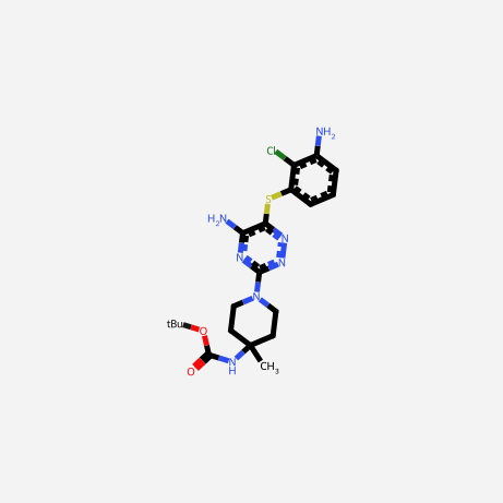 CC1(NC(=O)OC(C)(C)C)CCN(c2nnc(Sc3cccc(N)c3Cl)c(N)n2)CC1